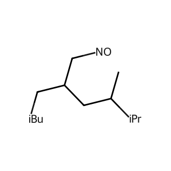 CCC(C)CC(CN=O)CC(C)C(C)C